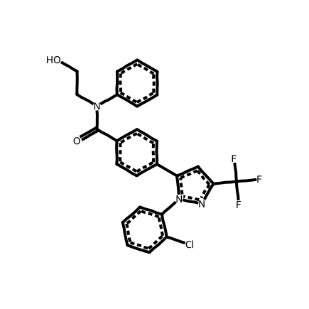 O=C(c1ccc(-c2cc(C(F)(F)F)nn2-c2ccccc2Cl)cc1)N(CCO)c1ccccc1